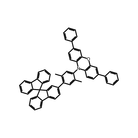 Cc1cc(N2c3ccc(-c4ccccc4)cc3Oc3cc(-c4ccccc4)ccc32)c(C)cc1-c1ccc2c(c1)C1(c3ccccc3-c3ccccc31)c1ccccc1-2